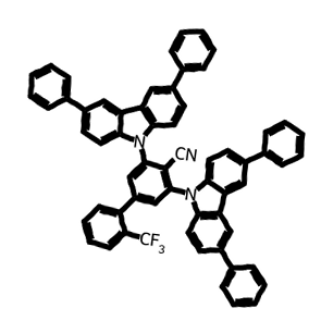 N#Cc1c(-n2c3ccc(-c4ccccc4)cc3c3cc(-c4ccccc4)ccc32)cc(-c2ccccc2C(F)(F)F)cc1-n1c2ccc(-c3ccccc3)cc2c2cc(-c3ccccc3)ccc21